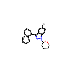 N#Cc1ccc2c(c1)c(-c1cccc3ccccc13)nn2C1CCCCO1